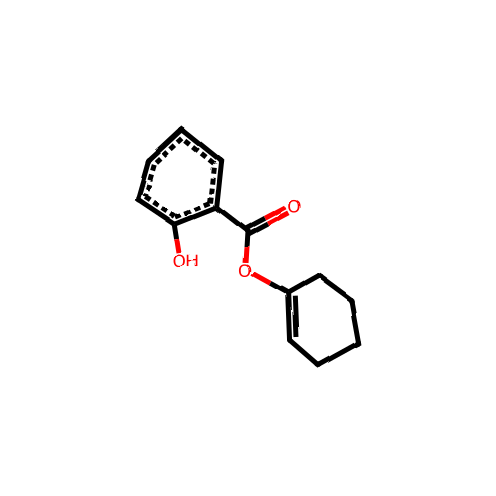 O=C(OC1=CCCCC1)c1ccccc1O